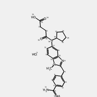 Cl.Cn1c(Cc2ccc(C(=N)N)cc2)nc2cc(N(C(=O)CCC(=O)O)C3CCCC3)ccc21